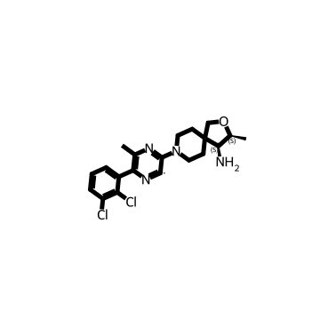 Cc1nc(N2CCC3(CC2)CO[C@@H](C)[C@H]3N)[c]nc1-c1cccc(Cl)c1Cl